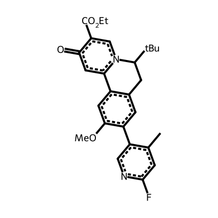 CCOC(=O)c1cn2c(cc1=O)-c1cc(OC)c(-c3cnc(F)cc3C)cc1CC2C(C)(C)C